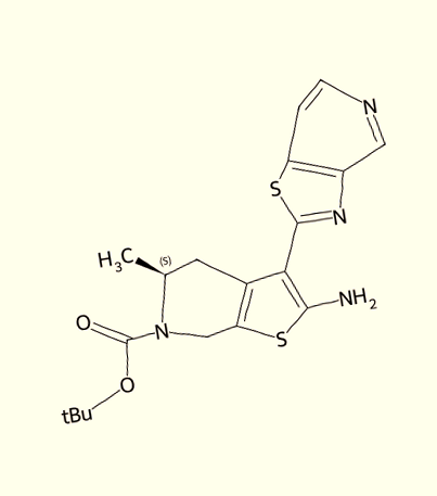 C[C@H]1Cc2c(sc(N)c2-c2nc3cnccc3s2)CN1C(=O)OC(C)(C)C